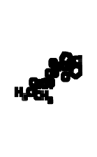 CC(C)C(=O)NCC(=O)OOC(=O)NC[C@@]1(c2ccccc2Cl)CCCCC1=O